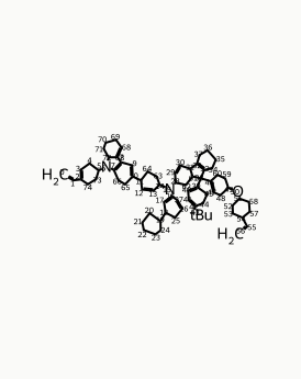 C=CC1=CCC(N2C3=C(C=C(C4C=CC(N(C5=CC(C6CCCCC6)CC=C5)C5C=CC6C7=C(CCCC7)C(C7=CC=C(C(C)(C)C)CC7)(C7=CCC(OC8CCC(C=C)CC8)CC7)C6C5)CC4)CC3)C3=CCCCC32)CC1